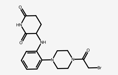 O=C1CCC(Nc2ccccc2N2CCN(C(=O)CBr)CC2)C(=O)N1